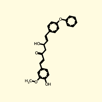 COc1cc(C=CC(=O)CC(O)C=Cc2ccc(Oc3ccccc3)cc2)ccc1O